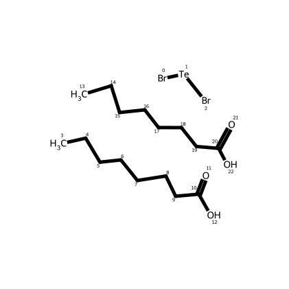 Br[Te]Br.CCCCCCCC(=O)O.CCCCCCCC(=O)O